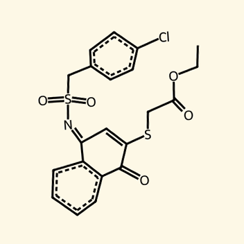 CCOC(=O)CSC1=CC(=NS(=O)(=O)Cc2ccc(Cl)cc2)c2ccccc2C1=O